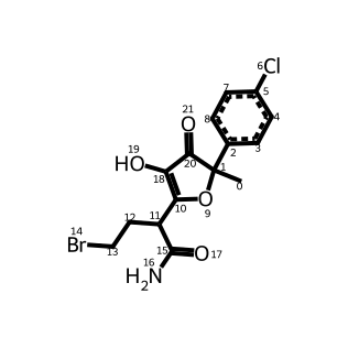 CC1(c2ccc(Cl)cc2)OC(C(CCBr)C(N)=O)=C(O)C1=O